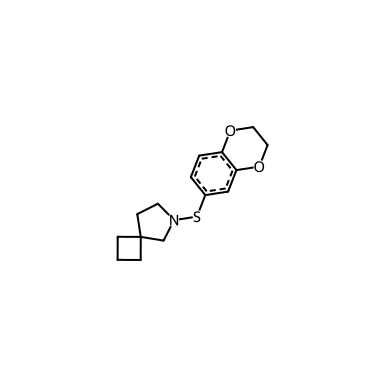 c1cc2c(cc1SN1CCC3(CCC3)C1)OCCO2